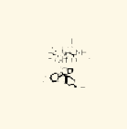 NC(=O)C(O)SSC(O)C(N)=O.O=C1OC2(c3ccc(O)cc3Oc3cc(O)ccc32)c2ccccc21